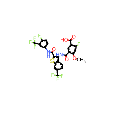 COc1cc(F)c(C(=O)O)cc1C(=O)Nc1c(C(=O)Nc2ccc(F)c(C(F)(F)F)c2)sc2cc(C(F)(F)F)ccc12